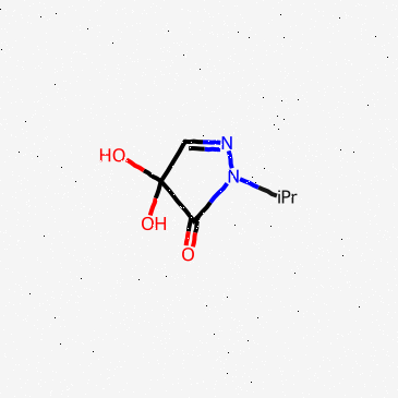 CC(C)N1N=CC(O)(O)C1=O